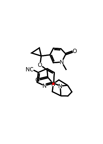 Cn1cc(C2(OCC(=O)N3CC4CCC(C3)N4c3ccc(C#N)cn3)CC2)ccc1=O